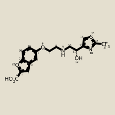 O=C(O)c1cc2cc(OCCNC[C@@H](O)c3csc(C(F)(F)F)n3)ccc2o1